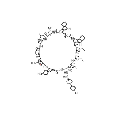 CCCC[C@H]1C(=O)N(C)[C@@H](CCCC)C(=O)N[C@@H](CC(C)C)C(=O)N[C@H](C(=O)NCC(=O)N2CCC(c3ccc(Cl)cc3)CC2)CSCC(=O)N[C@@H](Cc2ccc(O)cc2)C(=O)N(C)[C@@H](C)C(=O)N[C@@H](CC(N)=O)C(=O)N2CCC[C@H]2C(=O)N[C@@H](CN)C(=O)N[C@@H](CC(C)C)C(=O)N2C[C@H](O)C[C@H]2C(=O)N[C@@H](Cc2c[nH]c3ccccc23)C(=O)NCC(=O)NC(Cc2c[nH]c3ccccc23)C(=O)N1C